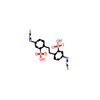 O=S(=O)(O)c1cc(N=C=S)ccc1CCc1ccc(N=C=S)cc1S(=O)(=O)O